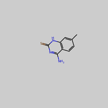 Cc1ccc2c(N)nc(=S)[nH]c2c1